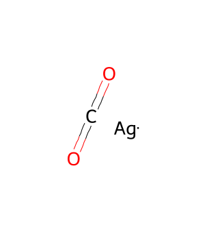 O=C=O.[Ag]